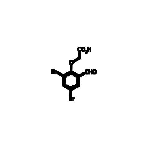 O=Cc1cc(Br)cc(Br)c1OCC(=O)O